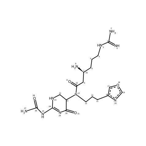 N=C(N)NCCC[C@H](N)CC(=O)N(CCCc1cocn1)C1CNC(NC(N)=O)=NC1=O